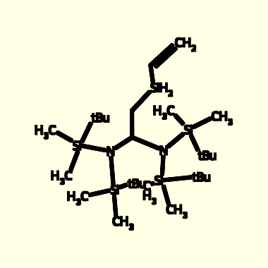 C=C[SiH2]CC(N([Si](C)(C)C(C)(C)C)[Si](C)(C)C(C)(C)C)N([Si](C)(C)C(C)(C)C)[Si](C)(C)C(C)(C)C